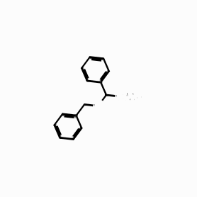 CO[C](OCc1ccccc1)c1ccccc1